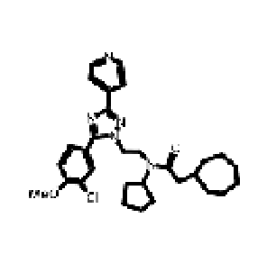 COc1ccc(-c2nc(-c3ccncc3)nn2CCN(C(=O)CC2CCCCCC2)C2CCCC2)cc1Cl